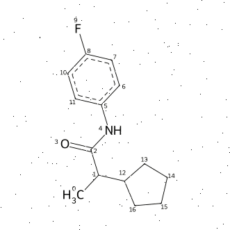 CC(C(=O)Nc1ccc(F)cc1)C1CCCC1